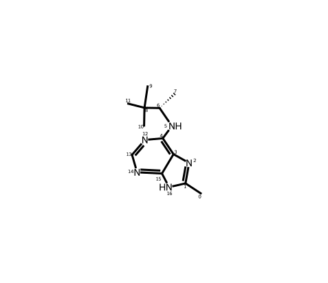 Cc1nc2c(N[C@@H](C)C(C)(C)C)ncnc2[nH]1